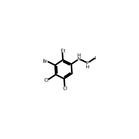 CCc1c(NPI)cc(Cl)c(Cl)c1Br